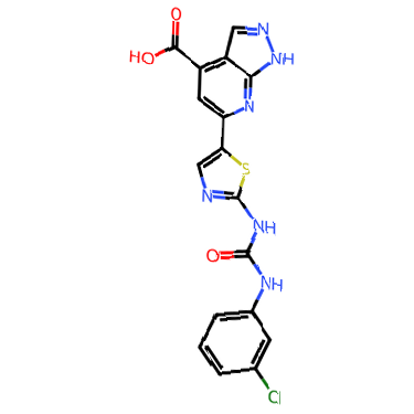 O=C(Nc1cccc(Cl)c1)Nc1ncc(-c2cc(C(=O)O)c3cn[nH]c3n2)s1